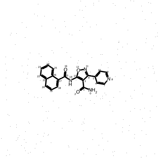 NC(=O)c1c(-c2ccncc2)noc1NC(=O)c1cccc2ccccc12